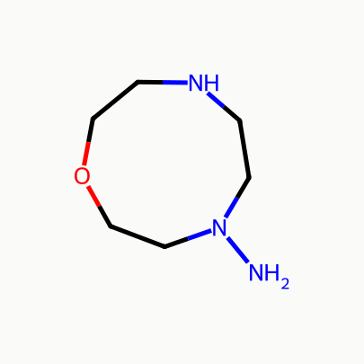 NN1CCNCCOCC1